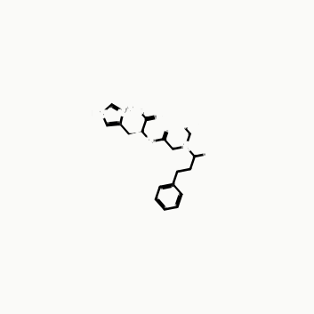 COC(=O)[C@H](Cc1c[nH]cn1)NC(=O)CN(CC(=O)O)C(C)CCc1ccccc1